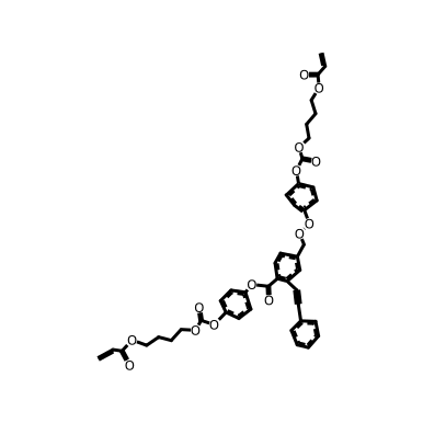 C=CC(=O)OCCCCOC(=O)Oc1ccc(OOCc2ccc(C(=O)Oc3ccc(OC(=O)OCCCCOC(=O)C=C)cc3)c(C#Cc3ccccc3)c2)cc1